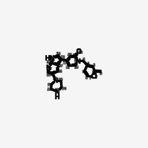 C=C(Cl)/C=C(\C=C/C)Cn1ccc(-c2c[nH]c3ncc(N4CCNCC4)cc23)cc1=O